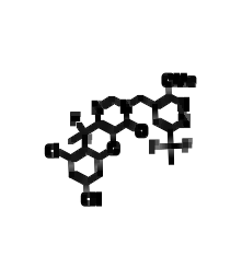 COc1nnc(C(C)(F)F)cc1Cn1cnc(C(C)(F)F)c(Oc2cc(Cl)cc(C#N)c2)c1=O